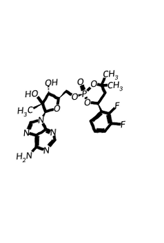 CC1(C)C[C@@H](c2cccc(F)c2F)O[P@@](=O)(OC[C@H]2O[C@@H](n3cnc4c(N)ncnc43)[C@](C)(O)[C@@H]2O)O1